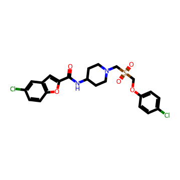 O=C(NC1CCN(CS(=O)(=O)COc2ccc(Cl)cc2)CC1)c1cc2cc(Cl)ccc2o1